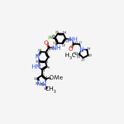 COc1c(-c2cc3cc(C(=O)Nc4cc(NC(=O)CN5CCC[C@@H]5C)ccc4F)cnc3[nH]2)cnn1C